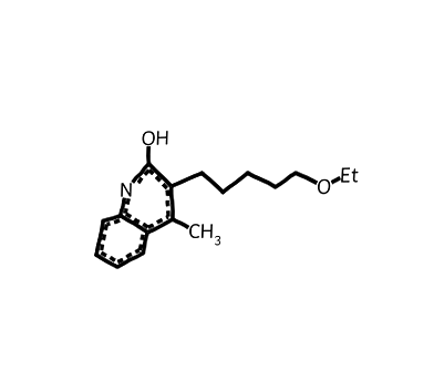 CCOCCCCCc1c(O)nc2ccccc2c1C